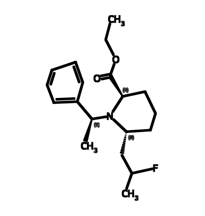 CCOC(=O)[C@H]1CCC[C@H](CC(C)F)N1[C@@H](C)c1ccccc1